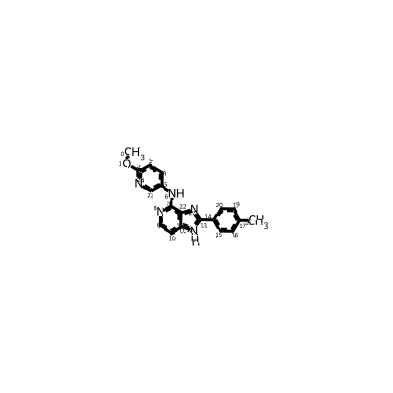 COc1ccc(Nc2nccc3[nH]c(-c4ccc(C)cc4)nc23)cn1